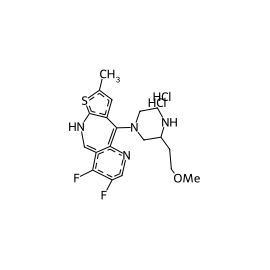 COCCC1CN(C2=c3ncc(F)c(F)c3=CNc3sc(C)cc32)CCN1.Cl.Cl